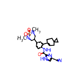 CN1CC(c2ccc(NC(=O)c3nc(C#N)c[nH]3)c(C3=CCC4(CC3)CC4)c2)CN(C)S1(=O)=O